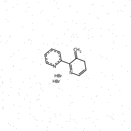 Br.Br.C=C1CC=CN=C1c1ccccn1